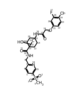 CS(=O)(=O)c1ccc(CNC(=O)C23CCC(NC(=O)COc4ccc(Cl)c(F)c4)(CC2)CC3O)nc1